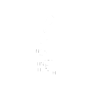 O=C(N[C@@H]1C[C@H]2CC[C@@H]1N2)c1cnc(-c2ccc(OCc3ccccc3)cc2)s1